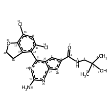 CC(C)(O)CNC(=O)c1cc2c(-c3c(Cl)cc(Cl)c4c3CCO4)nc(N)nc2s1